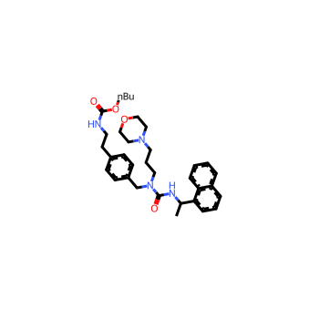 CCCCOC(=O)NCCc1ccc(CN(CCCN2CCOCC2)C(=O)NC(C)c2cccc3ccccc23)cc1